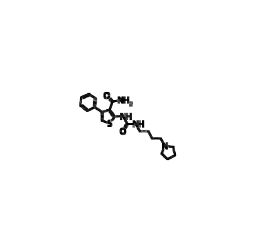 NC(=O)c1c(-c2ccccc2)csc1NC(=O)NCCCCN1CCCC1